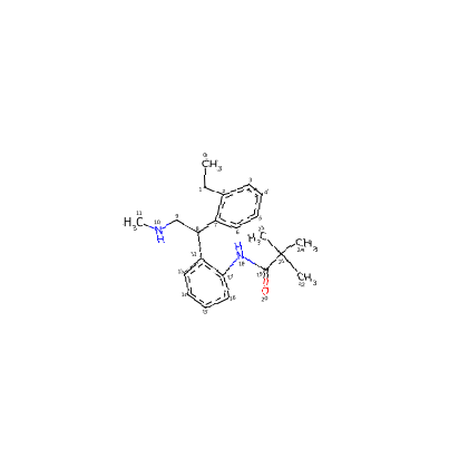 CCc1ccccc1C(CNC)c1ccccc1NC(=O)C(C)(C)C